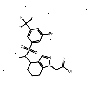 CN(C1CCCc2c1cnn2CC(=O)O)S(=O)(=O)c1cc(Br)cc(C(F)(F)F)c1